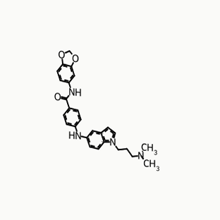 CN(C)CCCn1ccc2cc(Nc3ccc(C(=O)Nc4ccc5c(c4)OCO5)cc3)ccc21